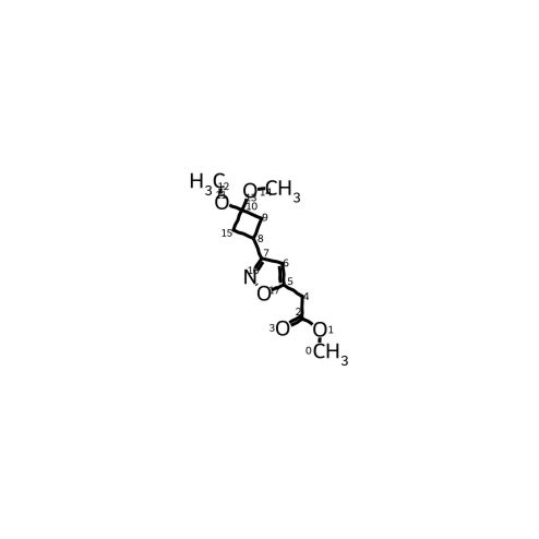 COC(=O)Cc1cc(C2CC(OC)(OC)C2)no1